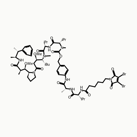 CC[C@@H](C)[C@@H]([C@@H](CC(=O)N1CCC[C@H]1[C@H](OC)[C@@H](C)C(=O)N[C@@H](C)[C@H](C)c1ccccc1)OC)N(C)C(=O)[C@@H](NC(=O)[C@H](C(C)C)N(C)C(=O)OCc1ccc(NC(=O)[C@@H](C)NC(=O)[C@H](NC(=O)CCCCCN2C(=O)C(Br)=C(Br)C2=O)C(C)C)cc1)C(C)C